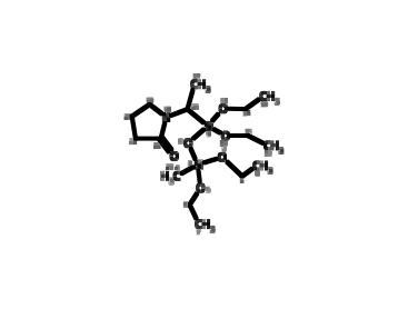 CCO[Si](C)(OCC)O[Si](OCC)(OCC)C(C)N1CCCC1=O